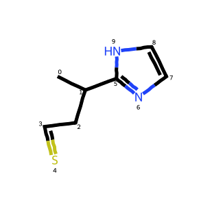 CC(CC=S)c1ncc[nH]1